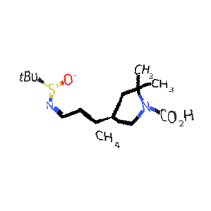 C.CC1(C)C[C@H](CC/C=N\[S@+]([O-])C(C)(C)C)CN1C(=O)O